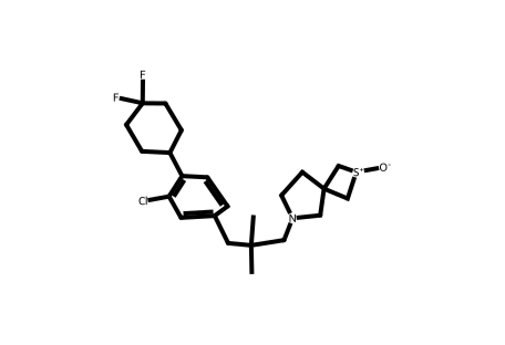 CC(C)(Cc1ccc(C2CCC(F)(F)CC2)c(Cl)c1)CN1CCC2(C1)C[S+]([O-])C2